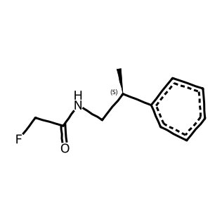 C[C@H](CNC(=O)CF)c1ccccc1